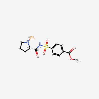 COC(=O)c1ccc(S(=O)(=O)NC(=O)[C@@H]2CCCN2P)cc1